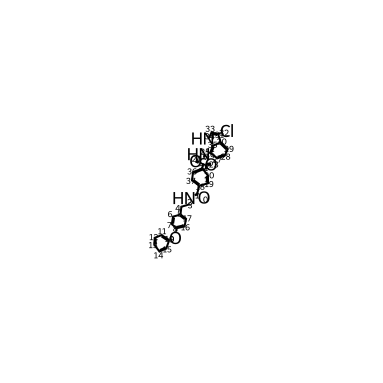 O=C(NCCc1ccc(Oc2ccccc2)cc1)c1ccc(S(=O)(=O)Nc2cccc3c(Cl)c[nH]c23)cc1